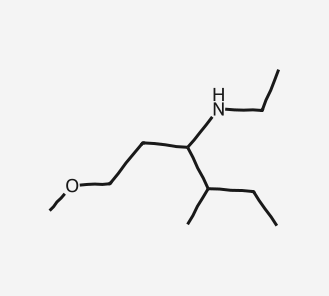 CCNC(CCOC)C(C)CC